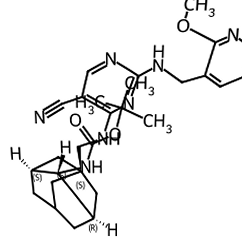 COc1ncccc1CNc1ncc(C#N)c(NC[C@]23CC4C[C@H](C2)[C@@H](NC(=O)OC(C)(C)C)[C@@H](C4)C3)n1